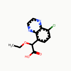 CCOC(C(=O)O)c1ccc(Cl)c2nccnc12